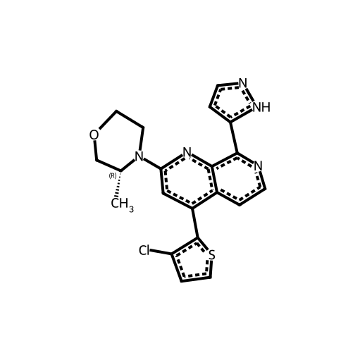 C[C@@H]1COCCN1c1cc(-c2sccc2Cl)c2ccnc(-c3ccn[nH]3)c2n1